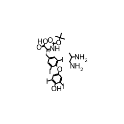 CC(C)(C)OC(=O)N[C@H](Cc1cc(I)c(Oc2cc(I)c(O)c(I)c2)c(I)c1)C(=O)O.CC(N)CN